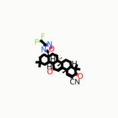 CC1(C)CC[C@]2(c3nc(C(F)F)no3)CC[C@]3(C)[C@H](C(=O)C=C4[C@@]5(C)C=C(C#N)C(=O)C(C)(C)[C@@H]5CC[C@]43C)[C@@H]2C1